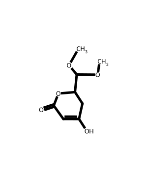 COC(OC)C1CC(O)=CC(=O)O1